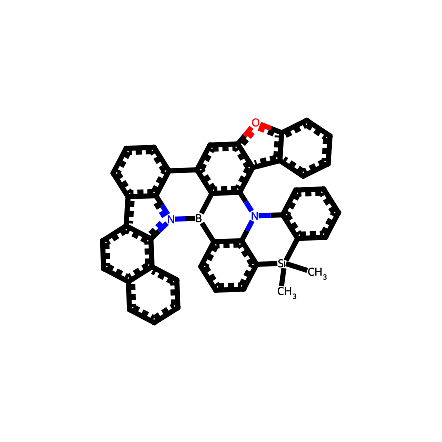 C[Si]1(C)c2ccccc2N2c3c(cccc31)B1c3c(cc4oc5ccccc5c4c32)-c2cccc3c4ccc5ccccc5c4n1c23